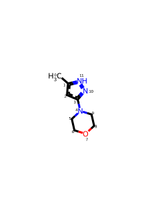 Cc1cc(N2CCOCC2)n[nH]1